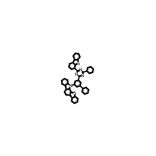 c1ccc(-c2cc(-c3nc(-c4ccccc4)nc(-c4cccc5c4sc4ccccc45)n3)cc(-n3c4ccccc4c4ccc5c6ccccc6sc5c43)c2)cc1